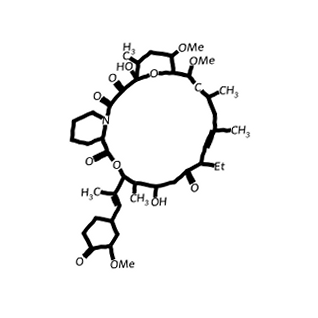 CCC1/C=C(\C)CC(C)CC(OC)C2OC(O)(C(=O)C(=O)N3CCCCC3C(=O)OC(C(C)=CC3CCC(=O)C(OC)C3)C(C)C(O)CC1=O)C(C)CC2OC